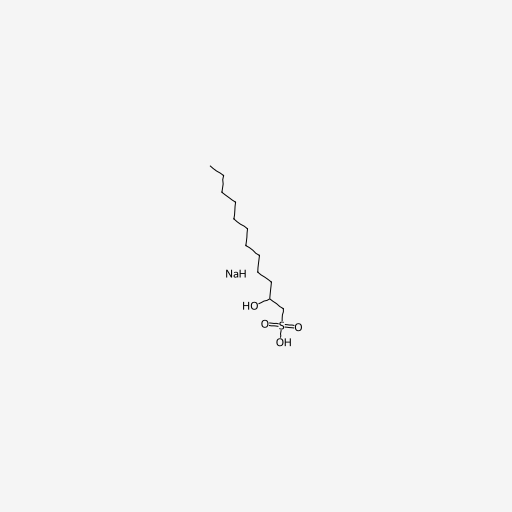 CCCCCCCCCCC(O)CS(=O)(=O)O.[NaH]